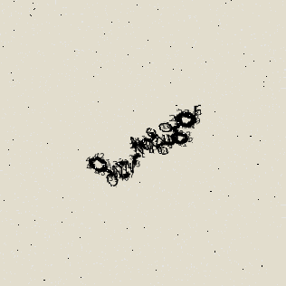 CC(C)c1c(/C=c2\[nH]c(=O)/c(=C/c3cccc(C(=O)c4ccc(F)cc4)c3)[nH]c2=O)ncn1CCCN1CCN(C(=O)C2CCCCC2)CC1